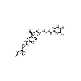 C=CC(=O)OCCC(=O)OC(=O)C(=C)CCCCC=Cc1ccccc1